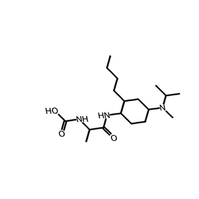 CCCCC1CC(N(C)C(C)C)CCC1NC(=O)C(C)NC(=O)O